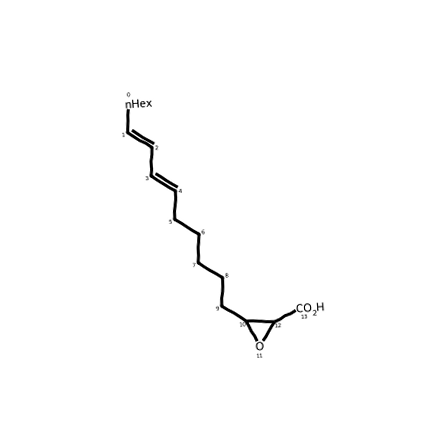 CCCCCCC=CC=CCCCCCC1OC1C(=O)O